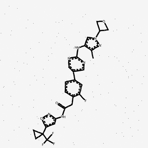 Cc1nn(C2COC2)cc1Nc1ncc(-c2ccc(CC(=O)Nc3cc(C4(C(F)(F)F)CC4)on3)c(F)c2)cn1